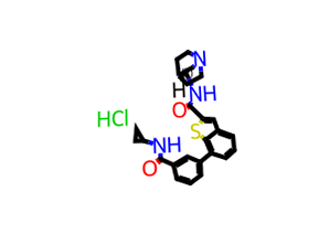 Cl.O=C(NC1CC1)c1cccc(-c2cccc3cc(C(=O)N[C@H]4CN5CCC4CC5)sc23)c1